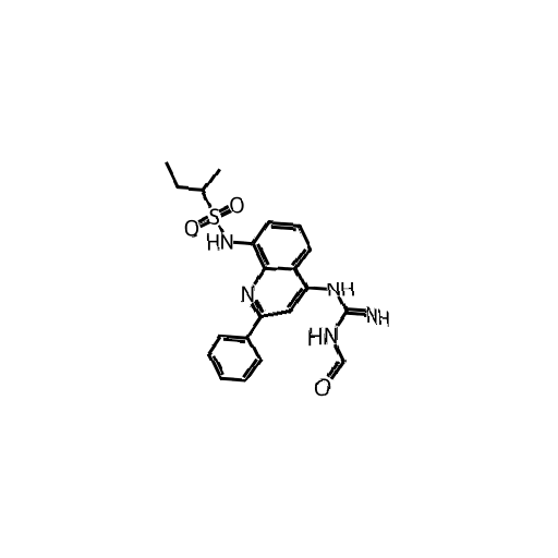 CCC(C)S(=O)(=O)Nc1cccc2c(NC(=N)NC=O)cc(-c3ccccc3)nc12